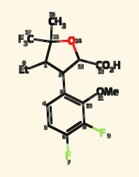 CCC1C(c2ccc(F)c(F)c2OC)C(C(=O)O)OC1(C)C(F)(F)F